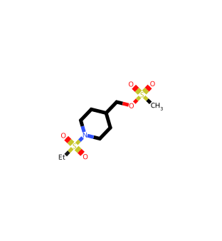 CCS(=O)(=O)N1CCC(COS(C)(=O)=O)CC1